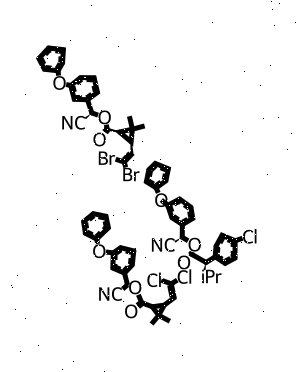 CC(C)[C@H](C(=O)O[C@H](C#N)c1cccc(Oc2ccccc2)c1)c1ccc(Cl)cc1.CC1(C)C(C=C(Cl)Cl)C1C(=O)OC(C#N)c1cccc(Oc2ccccc2)c1.CC1(C)[C@H](C(=O)O[C@H](C#N)c2cccc(Oc3ccccc3)c2)[C@@H]1C=C(Br)Br